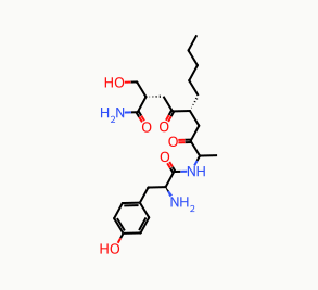 CCCCC[C@H](CC(=O)C(C)NC(=O)[C@@H](N)Cc1ccc(O)cc1)C(=O)C[C@@H](CO)C(N)=O